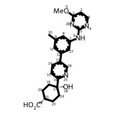 COc1ccnc(Nc2cc(C)cc(-c3ccc([C@]4(O)CC[C@@H](C(=O)O)CC4)nc3)c2)n1